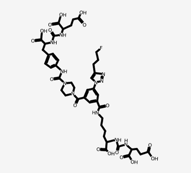 O=C(O)CCC(NC(=O)NC(CCCCNC(=O)c1cc(C(=O)N2CCN(C(=O)Nc3ccc(CC(NC(=O)NC(CCC(=O)O)C(=O)O)C(=O)O)cc3)CC2)cc(-n2cc(CCCF)nn2)c1)C(=O)O)C(=O)O